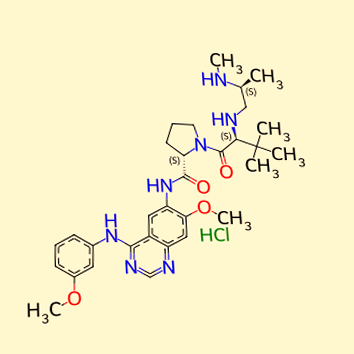 CN[C@@H](C)CN[C@H](C(=O)N1CCC[C@H]1C(=O)Nc1cc2c(Nc3cccc(OC)c3)ncnc2cc1OC)C(C)(C)C.Cl